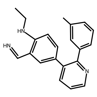 CCNc1ccc(-c2cccnc2-c2cccc(C)c2)cc1C=N